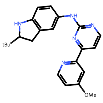 COc1ccnc(-c2ccnc(Nc3ccc4c(c3)CC(C(C)(C)C)N4)n2)c1